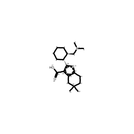 CN(C)C[C@@H]1CCCC[C@H]1c1sc2c(c1C(=O)O)CC(C)(C)CC2